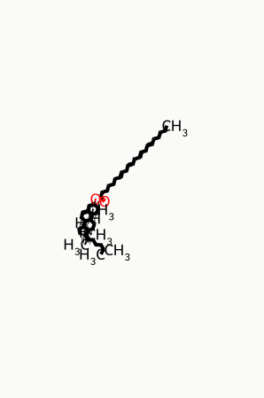 CCCCCC=CCC=CCC=CCC=CCCCCCC(=O)O[C@H]1CC[C@@]2(C)C(=CC[C@H]3[C@@H]4CC[C@H]([C@H](C)CCCC(C)C)[C@@]4(C)CC[C@@H]32)C1